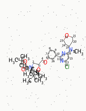 CN(CC(COc1cccc(-c2nc(Cl)cc(N(C)C3CCOCC3)n2)c1)O[Si](C)(C)C(C)(C)C)C(=O)OC(C)(C)C